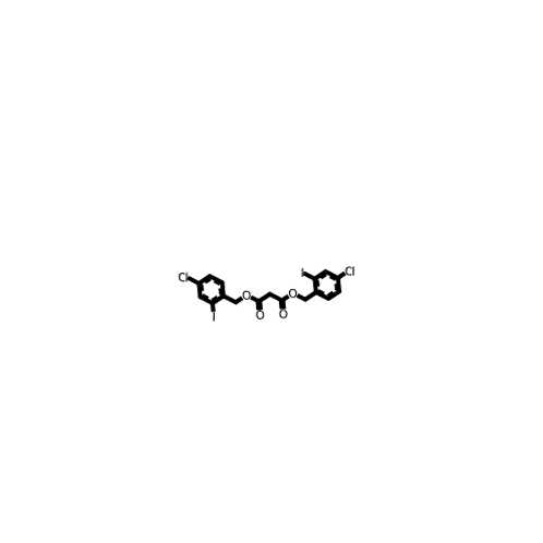 O=C(CC(=O)OCc1ccc(Cl)cc1I)OCc1ccc(Cl)cc1I